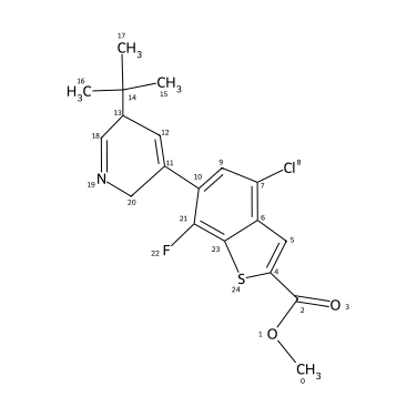 COC(=O)c1cc2c(Cl)cc(C3=CC(C(C)(C)C)C=NC3)c(F)c2s1